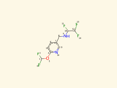 FC(F)Oc1ccc(CNC(F)C(F)F)cn1